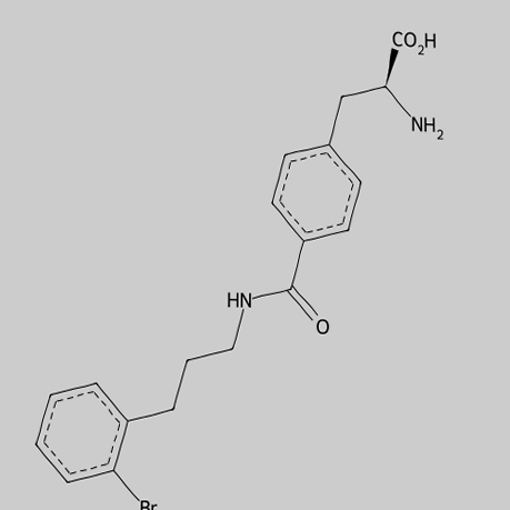 N[C@@H](Cc1ccc(C(=O)NCCCc2ccccc2Br)cc1)C(=O)O